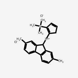 Cc1ccc2c(c1)[CH]([Zr+2][C]1=C([Si](C)(C)C)C=CC1)c1cc(C)ccc1-2.[Cl-].[Cl-]